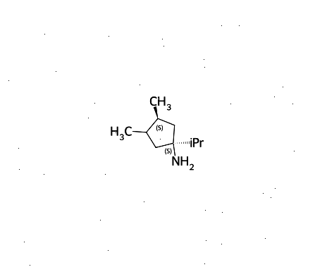 CC1C[C@@](N)(C(C)C)C[C@@H]1C